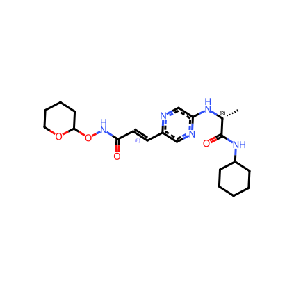 C[C@@H](Nc1cnc(/C=C/C(=O)NOC2CCCCO2)cn1)C(=O)NC1CCCCC1